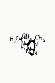 Cc1nc2ncnn2c(NC(C)C)c1Br